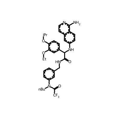 CCCCN(C(=O)C(F)(F)F)c1cccc(CNC(=O)C(Nc2ccc3c(N)nccc3c2)c2ccc(OC(C)C)c(OCC)c2)c1